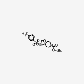 Cc1ccc(S(=O)(=O)O[C@@H]2COC3(CCN(C(=O)OC(C)(C)C)CC3)C2)cc1